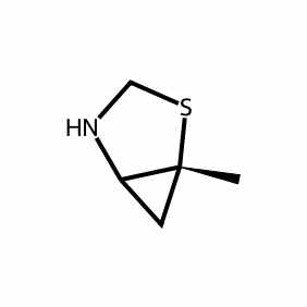 C[C@@]12CC1NCS2